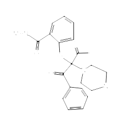 CNC(=O)c1ccccc1OC(C(=O)c1ccccc1)(C(=O)C(F)(F)F)N1CCNCC1